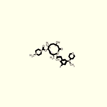 C/C(=C\c1cc(F)cc(N(C)C2CCOCC2)c1)[C@H]1OC(=O)C[C@H](O)CC[C@H](C)[C@H](OC(=O)N2CCN(C)CC2)/C=C/[C@@H]1C